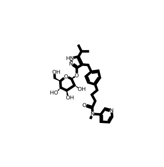 CC(C)c1[nH]nc(O[C@@H]2O[C@H](CO)[C@@H](O)[C@H](O)[C@H]2O)c1Cc1ccc(CCCC(=O)N(C)c2cccnc2)cc1